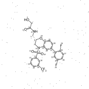 O=C(CO)NC[C@H]1CN(S(=O)(=O)c2cccc(C(F)(F)F)c2)c2cc(-c3cc(F)ccc3F)ccc2O1